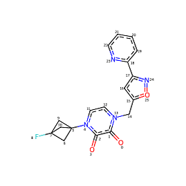 O=c1c(=O)n(C23CC(F)(C2)C3)ccn1Cc1cc(-c2ccccn2)no1